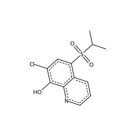 CC(C)S(=O)(=O)c1cc(Cl)c(O)c2ncccc12